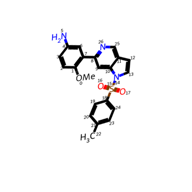 COc1ccc(N)cc1-c1cc2c(ccn2S(=O)(=O)c2ccc(C)cc2)cn1